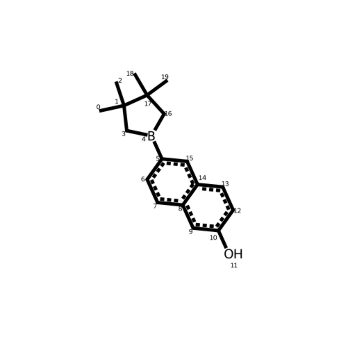 CC1(C)CB(c2ccc3cc(O)ccc3c2)CC1(C)C